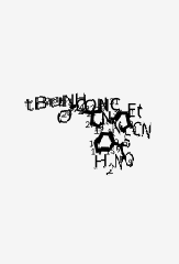 CCc1c(C#N)c(SC(C(N)=O)c2ccccc2)nc(N2CCC(O)(COC(=O)NC(C)(C)C)C2)c1C#N